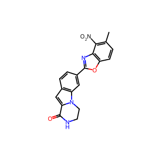 Cc1ccc2oc(-c3ccc4cc5n(c4c3)CCNC5=O)nc2c1[N+](=O)[O-]